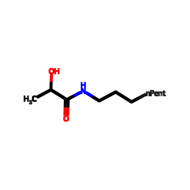 CCCCCCCCNC(=O)C(C)O